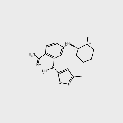 Cc1cc(N(N)c2cc(N[C@@H]3CCCC[C@@H]3C)ccc2C(=N)N)on1